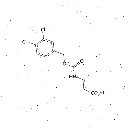 CCOC(=O)C=CNC(=O)OCc1ccc(Cl)c(Cl)c1